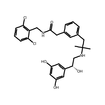 CC(C)(Cc1cccc(CC(=O)NCc2c(Cl)cccc2Cl)c1)NC[C@H](O)c1cc(O)cc(O)c1